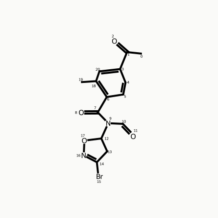 CC(=O)c1ccc(C(=O)N(C=O)C2CC(Br)=NO2)c(C)c1